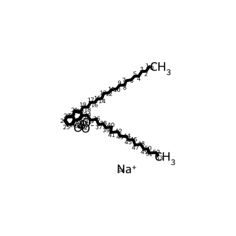 CCCCCCCCCCCCCCCCCCCCc1cc2ccccc2c(S(=O)(=O)[O-])c1CCCCCCCCCCCCCCCCCCCC.[Na+]